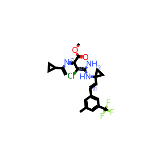 C=C(/N=C(C(=O)OC)\C(Cl)=C(/N)NC1(/C=C/c2cc(C)cc(C(F)(F)F)c2)CC1)C1CC1